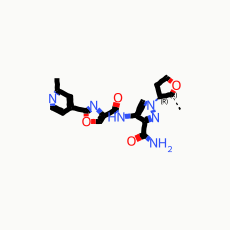 Cc1cc(-c2nc(C(=O)Nc3cn([C@@H]4CCO[C@@H]4C)nc3C(N)=O)co2)ccn1